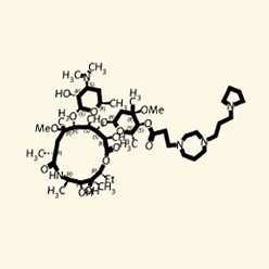 CC[C@H]1OC(=O)[C@H](C)[C@@H](O[C@H]2C[C@@](C)(OC)[C@@H](OC(=O)CCN3CCCN(CCCN4CCCC4)CC3)[C@H](C)O2)[C@H](C)[C@@H](O[C@@H]2O[C@H](C)C[C@H](N(C)C)[C@H]2O)[C@](C)(OC)C[C@@H](C)C(=O)N[C@H](C)[C@@H](O)[C@]1(C)O